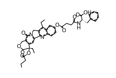 CCCC(=O)O[C@]1(CC)C(=O)OCc2c1cc1n(c2=O)Cc2c-1nc1ccc(OC(=O)CCC(=O)N[C@@H](Cc3ccccc3)C(=O)O)cc1c2CC